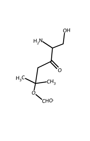 CC(C)(CC(=O)C(N)CO)O[C]=O